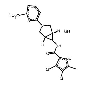 Cc1[nH]c(C(=O)N[C@H]2[C@@H]3CN(c4cccc(C(=O)O)n4)C[C@@H]32)c(Cl)c1Cl.[LiH]